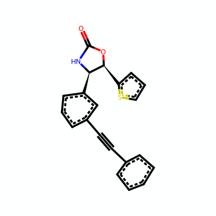 O=C1N[C@H](c2cccc(C#Cc3ccccc3)c2)[C@H](c2cccs2)O1